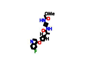 COCC(=O)NC12CC(NC(=O)C(C)[C@H]3[C@@H]4C[C@H](Oc5ccnc6ccc(F)cc56)C[C@@H]43)(C1)C2